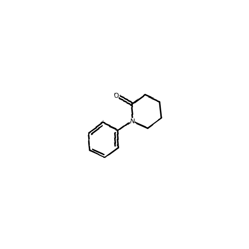 O=C1CCCCN1c1[c]cccc1